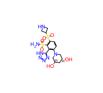 NS(=O)(=O)c1c(S(=O)(=O)C2CNC2)ccc(N2C[C@H](O)C[C@@H](O)C2)c1-c1nnn[nH]1